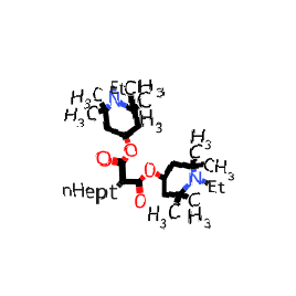 CCCCCCCC(C(=O)OC1CC(C)(C)N(CC)C(C)(C)C1)C(=O)OC1CC(C)(C)N(CC)C(C)(C)C1